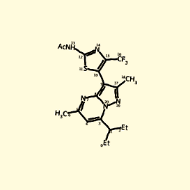 CCC(CC)c1cc(C)nc2c(-c3sc(NC(C)=O)nc3C(F)(F)F)c(C)nn12